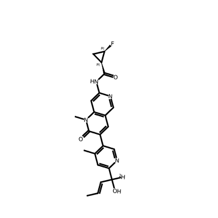 [2H]C(O)(C=CC)c1cc(C)c(-c2cc3cnc(NC(=O)[C@H]4C[C@H]4F)cc3n(C)c2=O)cn1